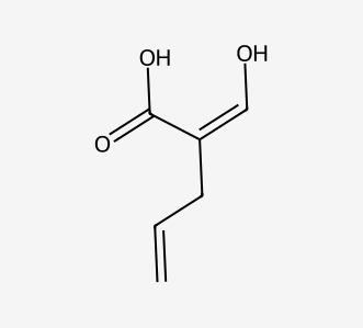 C=CCC(=CO)C(=O)O